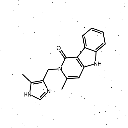 Cc1[nH]cnc1Cn1c(C)cc2[nH]c3ccccc3c2c1=O